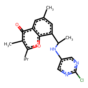 Cc1cc(C(C)Nc2cnc(Cl)nc2)c2oc(C(C)C)c(C)c(=O)c2c1